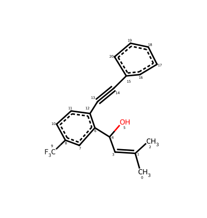 CC(C)=CC(O)c1cc(C(F)(F)F)ccc1C#Cc1ccccc1